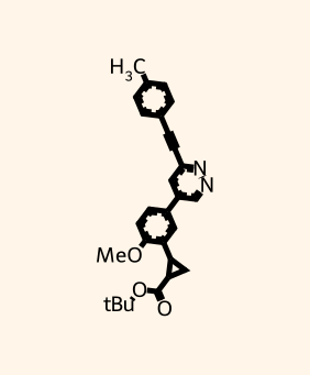 COc1ccc(-c2cnnc(C#Cc3ccc(C)cc3)c2)cc1C1CC1C(=O)OC(C)(C)C